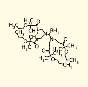 BC(N(CCC(=O)C(C)(C)OCCC)CCC(=O)C(C)(C)OCCC)N(CCC(=O)C(C)(C)OCCC)CCC(=O)C(C)(C)OCCC